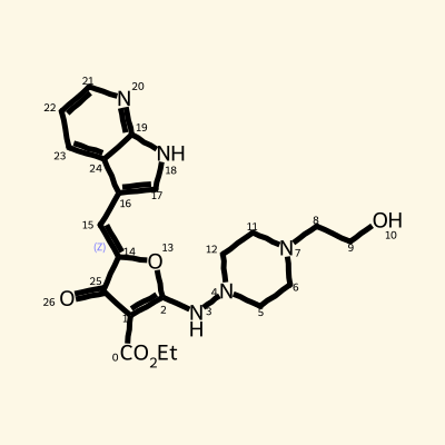 CCOC(=O)C1=C(NN2CCN(CCO)CC2)O/C(=C\c2c[nH]c3ncccc23)C1=O